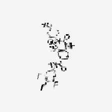 O=C(Nc1cc(F)c(F)c(F)c1)c1ccc2c(c1)S(=O)(=O)N([C@H]1CC[C@@H](O)CC1)C(=O)N2